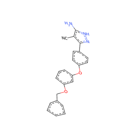 N#Cc1c(-c2ccc(Oc3cccc(OCc4ccccc4)c3)cc2)n[nH]c1N